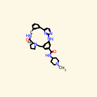 CN1CCC(NC(=O)c2cc3cc(c2)Nc2nccc(n2)-c2cccc(c2)CNC(=O)[C@@H]2CCCN2C3)CC1